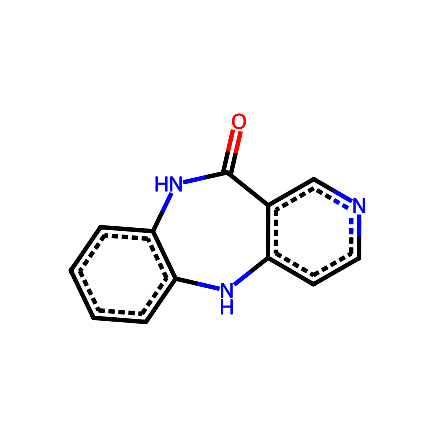 O=C1Nc2ccccc2Nc2ccncc21